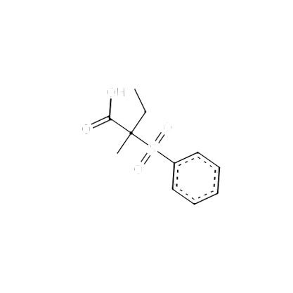 CCC(C)(C(=O)O)S(=O)(=O)c1ccccc1